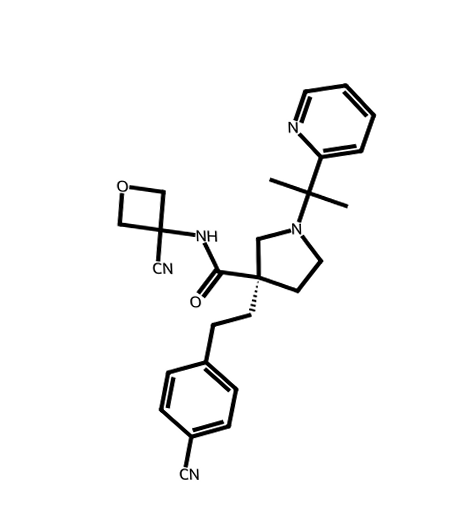 CC(C)(c1ccccn1)N1CC[C@@](CCc2ccc(C#N)cc2)(C(=O)NC2(C#N)COC2)C1